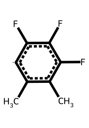 Cc1[c]c(F)c(F)c(F)c1C